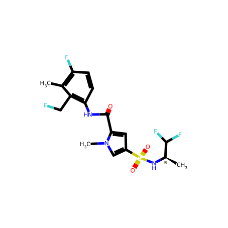 Cc1c(F)ccc(NC(=O)c2cc(S(=O)(=O)N[C@H](C)C(F)F)cn2C)c1CF